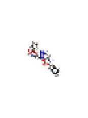 CC(C)C[C@H](NC(=O)c1cc2ccccc2s1)C(=O)NCCCN(C)S(=O)(=O)c1cccs1